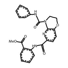 COC(=O)c1ccccc1NC(=O)c1ccc2c(n1)N(C(=O)Nc1ccccc1)CCO2